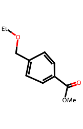 CCOCc1ccc(C(=O)OC)cc1